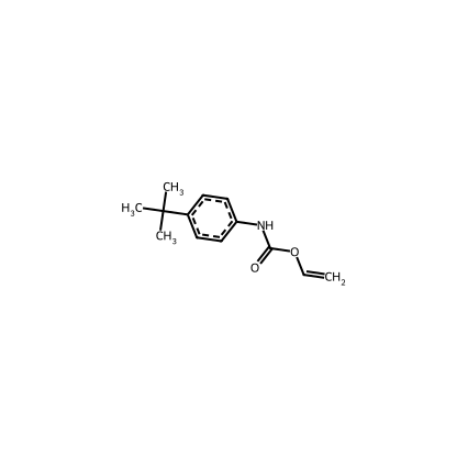 C=COC(=O)Nc1ccc(C(C)(C)C)cc1